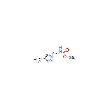 Cc1cnn(CCNC(=O)OC(C)(C)C)c1